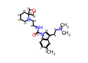 Cc1ccc2c(c1)c(CCN(C)C)cn2C(=O)NCCN1CCCCC12COC2